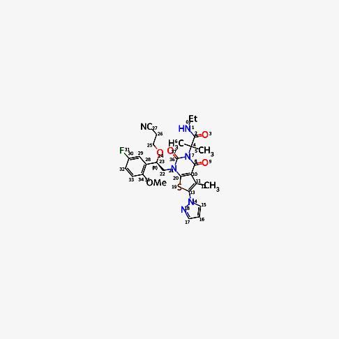 CCNC(=O)C(C)(C)n1c(=O)c2c(C)c(-n3cccn3)sc2n(C[C@H](OCCC#N)c2cc(F)ccc2OC)c1=O